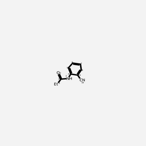 CCC(=O)Nc1ccccc1C#N